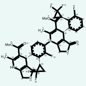 COC(=O)C1=C(C)N(c2ccc([C@H]3C(C(=O)OC)=C(C)NC4=C3C(=O)OC4)c([C@@H]3CC3(F)F)c2F)C2=C(C(=O)OC2)[C@H]1c1cccc(F)c1[C@H]1CC1(F)F